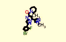 C[C@@H]1CCCCCN1C(=O)c1cc(-c2cnn(C)c2)n2nc(-c3ccc(Br)cc3F)cc2n1